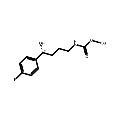 CC(C)(C)OC(=O)NCCC[C@@H](O)c1ccc(F)cc1